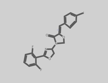 O=C1/C(=C/c2ccc(I)cc2)OCN1C1COC(c2c(F)cccc2F)=N1